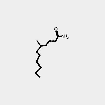 CCCCCCC(C)CCCC(N)=O